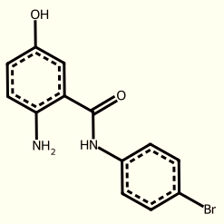 Nc1ccc(O)cc1C(=O)Nc1ccc(Br)cc1